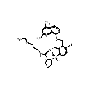 CCNCCCNC(=O)[C@@H]1CCCN1S(=O)(=O)c1ccc(Cl)c(COc2cccc3c(C)cc(C)nc23)c1Cl